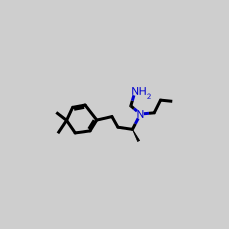 CCCN(CN)[C@@H](C)CCC1=CCC(C)(C)C=C1